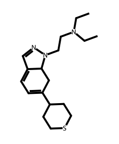 CCN(CC)CCN1N=CC2=CC=C(C3CCSCC3)CC21